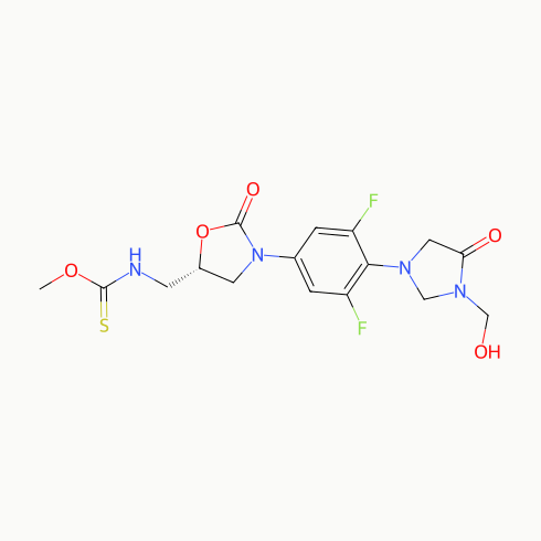 COC(=S)NC[C@H]1CN(c2cc(F)c(N3CC(=O)N(CO)C3)c(F)c2)C(=O)O1